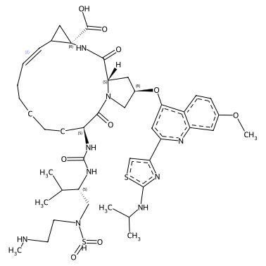 CNCCN(C[C@@H](NC(=O)N[C@H]1CCCCC/C=C\C2C[C@@]2(C(=O)O)NC(=O)[C@@H]2C[C@@H](Oc3cc(-c4csc(NC(C)C)n4)nc4cc(OC)ccc34)CN2C1=O)C(C)C)[SH](=O)=O